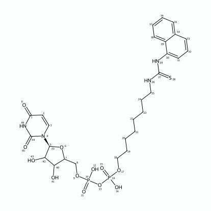 O=c1ccn([C@H]2OC(COP(=O)(O)OP(=O)(O)OCCCCCCCCNC(=S)Nc3cccc4ccccc34)C(O)C2O)c(=O)[nH]1